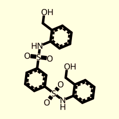 O=S(=O)(Nc1ccccc1CO)c1cccc(S(=O)(=O)Nc2ccccc2CO)c1